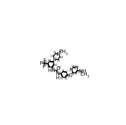 CNc1cc(Oc2ccc(NC(=O)Nc3cc(N4CCN(C)CC4)cc(C(F)(F)F)c3)cc2)ncn1